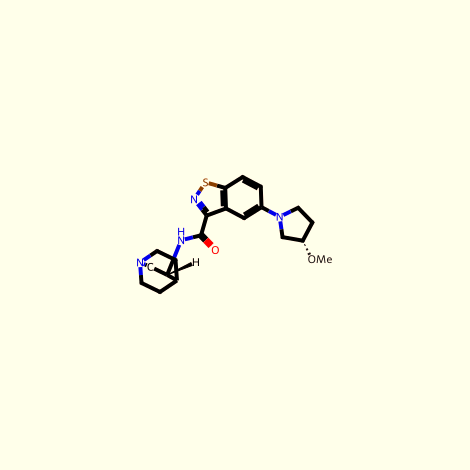 CO[C@H]1CCN(c2ccc3snc(C(=O)N[C@H]4CN5CCC4CC5)c3c2)C1